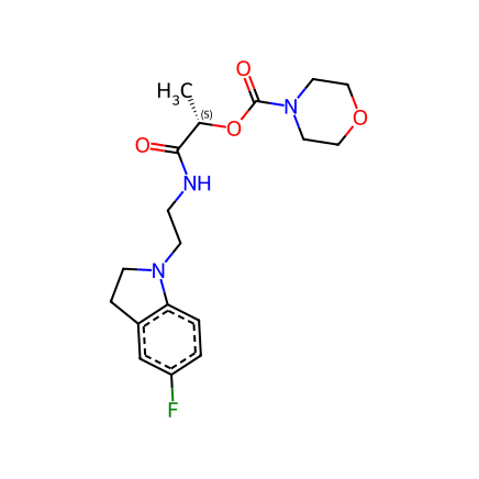 C[C@H](OC(=O)N1CCOCC1)C(=O)NCCN1CCc2cc(F)ccc21